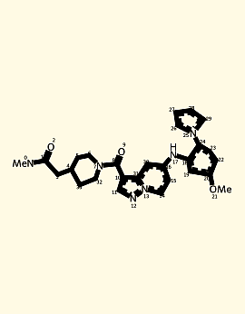 CNC(=O)CC1CCN(C(=O)c2cnn3ccc(Nc4cc(OC)ccc4-n4cccc4)cc23)CC1